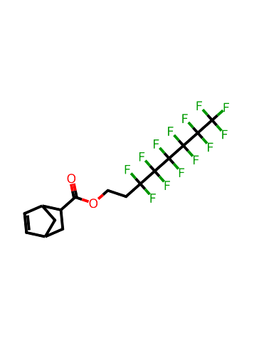 O=C(OCCC(F)(F)C(F)(F)C(F)(F)C(F)(F)C(F)(F)C(F)(F)F)C1CC2C=CC1C2